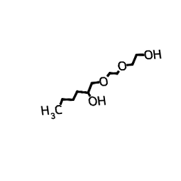 CCCCC(O)COCCOCCO